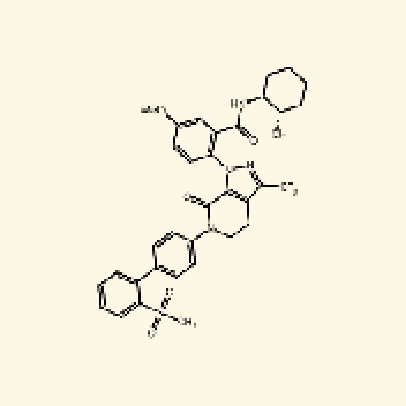 COc1ccc(-n2nc(C(F)(F)F)c3c2C(=O)N(c2ccc(-c4ccccc4S(C)(=O)=O)cc2)CC3)c(C(=O)N[C@H]2CCCC[C@@H]2O)c1